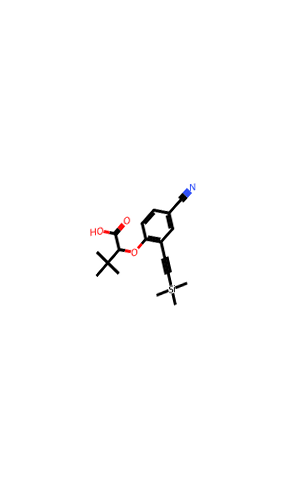 CC(C)(C)C(Oc1ccc(C#N)cc1C#C[Si](C)(C)C)C(=O)O